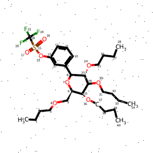 CCCCOC[C@H]1OC(c2cccc(OS(=O)(=O)C(F)(F)F)c2)[C@H](OCCCC)C(OCCCC)[C@@H]1OCCCC